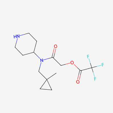 CC1(CN(C(=O)COC(=O)C(F)(F)F)C2CCNCC2)CC1